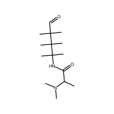 CC(C(=O)NC(C)(C)C(C)(C)C(C)(C)C=O)N(C)C